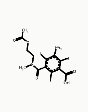 CC(=O)OCCN(C)C(=O)c1c(I)c(N)c(I)c(C(=O)O)c1I